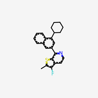 Cc1sc2c(-c3cc(C4CCCCC4)c4ccccc4c3)nccc2c1F